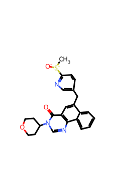 C[S+]([O-])c1ccc(Cc2cc3c(=O)n(C4CCOCC4)cnc3c3ccccc23)cn1